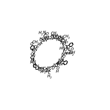 CCCC1(C)NC(=O)[C@H](Cc2cn(CC(=O)O)c3ccccc23)NC(=O)[C@H](CCN)NC(=O)[C@H](Cc2c[nH]c3ccccc23)NC(=O)[C@@H]2C[C@@H](O)CN2C(=O)[C@H](CC(C)C)NC(=O)CNC(=O)[C@H]2CCC3CC[C@@H](NC(=O)[C@@H]4CCCN4C(=O)[C@H](Cc4ccc(OC)cc4)NC(=O)CSC[C@@H](C(=O)NCC(N)=O)N(C)C(=O)[C@H](CC(C)C)NC(=O)C(C)N(C)C1=O)C(=O)N32